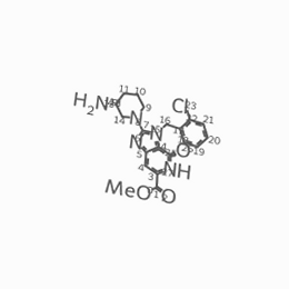 COC(=O)c1cc2nc(N3CCC[C@@H](N)C3)n(Cc3ccccc3Cl)c2c(=O)[nH]1